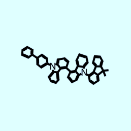 CC1(C)c2ccccc2-c2c(-n3c4ccccc4c4c(-c5cccc6c5c5ccccc5n6-c5ccc(-c6ccccc6)cc5)cccc43)cccc21